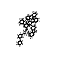 c1ccc(-c2cccc(-c3nc(-c4ccc5sc6ccccc6c5c4)nc(-c4cccc5oc6ccc(-c7cccc8c7-c7ccccc7C87c8ccccc8-c8ccccc87)cc6c45)n3)c2)cc1